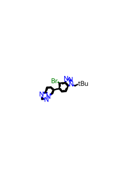 CC(C)(C)Cn1nnc2c(Br)c(-c3ccc4ncnn4c3)ccc21